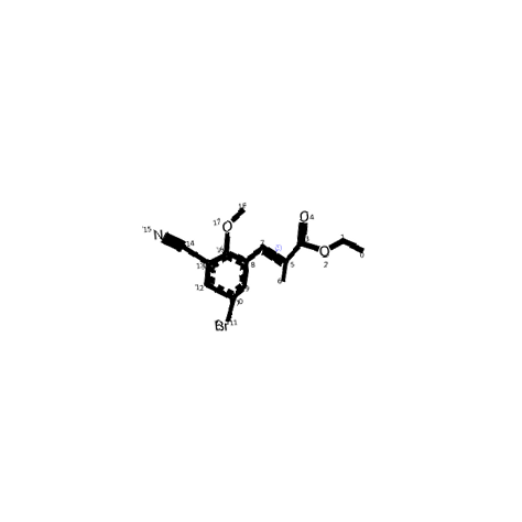 CCOC(=O)/C(C)=C/c1cc(Br)cc(C#N)c1OC